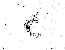 Cn1c(C2(NC(=O)c3ccc4c(C5CCCC5)c(-c5ccc(Cl)cn5)n(C)c4c3)CCC2)nc2ccc(/C=C/C(=O)O)cc21